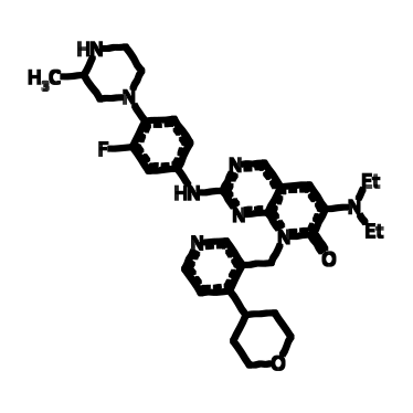 CCN(CC)c1cc2cnc(Nc3ccc(N4CCNC(C)C4)c(F)c3)nc2n(Cc2cnccc2C2CCOCC2)c1=O